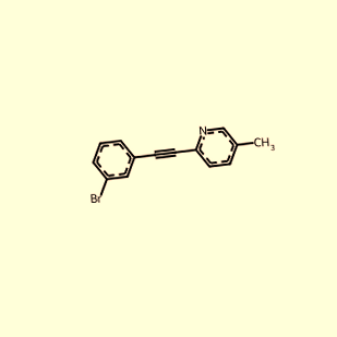 Cc1ccc(C#Cc2cccc(Br)c2)nc1